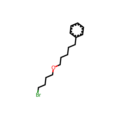 BrCCCCOCCCCCc1ccccc1